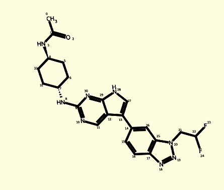 CC(=O)N[C@H]1CC[C@H](Nc2ncc3c(-c4ccc5nnn(CC(F)F)c5c4)c[nH]c3n2)CC1